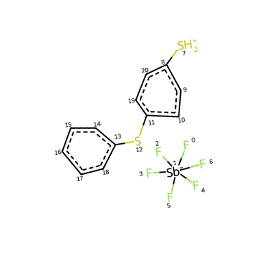 [F][Sb-]([F])([F])([F])([F])[F].[SH2+]c1ccc(Sc2ccccc2)cc1